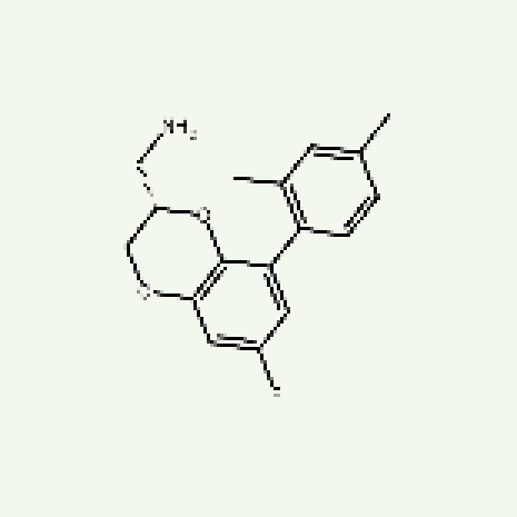 Cc1ccc(-c2cc(F)cc3c2O[C@@H](CN)CO3)c(C)c1